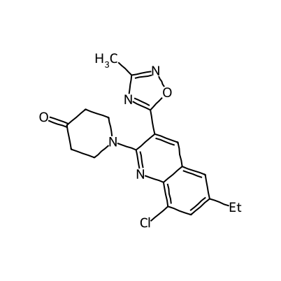 CCc1cc(Cl)c2nc(N3CCC(=O)CC3)c(-c3nc(C)no3)cc2c1